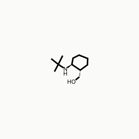 CC(C)(C)N[C@H]1CCCC[C@@H]1CO